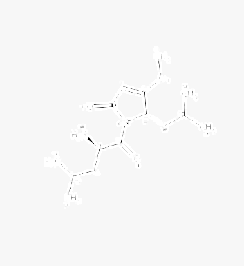 COC1=CC(=O)N(C(=O)[C@H](N)CC(C)C)[C@H]1CC(C)C